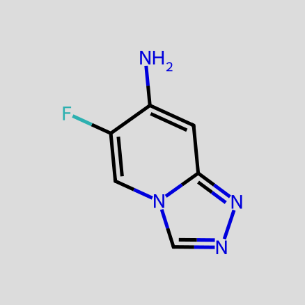 Nc1cc2nncn2cc1F